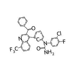 NC(=O)N(c1cccc(-c2c(C(=O)c3ccccc3)cnc3c(C(F)(F)F)cccc23)c1)c1ccc(F)c(Cl)c1